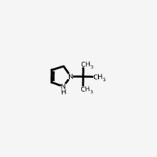 CC(C)(C)N1CC=CN1